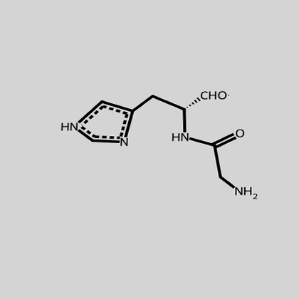 NCC(=O)N[C@@H]([C]=O)Cc1c[nH]cn1